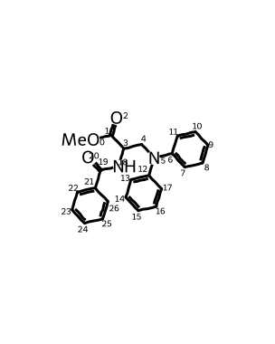 COC(=O)C(CN(c1ccccc1)c1ccccc1)NC(=O)c1ccccc1